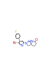 O=C1CCCC2(CCN(c3cc(-c4ccc(F)cc4)c(Br)cn3)CC2)N1